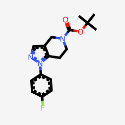 CC(C)(C)OC(=O)N1CCc2c(cnn2-c2ccc(F)cc2)C1